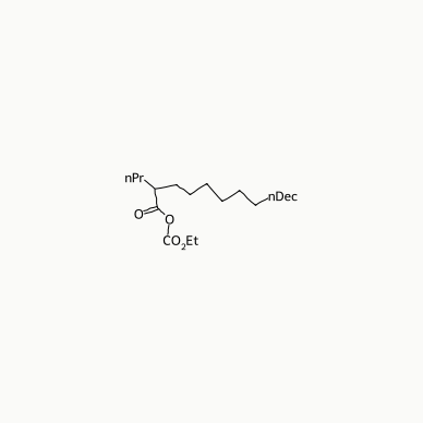 CCCCCCCCCCCCCCCCC(CCC)C(=O)OC(=O)OCC